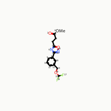 COC(=O)CCc1nc(-c2cccc(COC(F)F)c2)no1